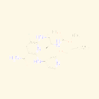 CC[C@@H](Nc1nc(Nc2ccnc(OCCOC)c2)c(C(N)=O)cc1F)[C@H](C)NC(=O)OC(C)(C)C